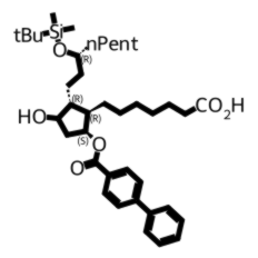 CCCCC[C@H](CC[C@H]1C(O)C[C@H](OC(=O)c2ccc(-c3ccccc3)cc2)[C@@H]1CCCCCCC(=O)O)O[Si](C)(C)C(C)(C)C